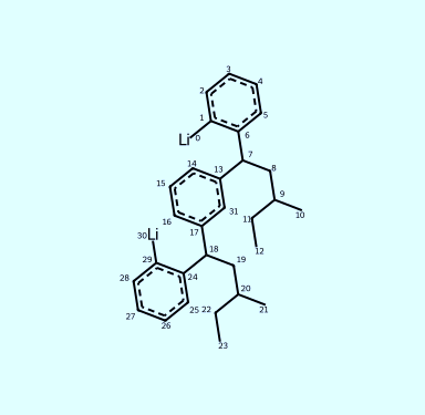 [Li][c]1ccccc1C(CC(C)CC)c1cccc(C(CC(C)CC)c2cccc[c]2[Li])c1